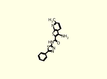 Cc1ccc2c(N)c(C(=O)Nc3nnc(-c4ccccc4)s3)sc2n1